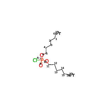 CC(C)CCCCCOP(=O)(Cl)OCCCCCC(C)C